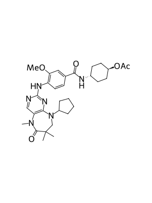 COc1cc(C(=O)N[C@H]2CC[C@H](OC(C)=O)CC2)ccc1Nc1ncc2c(n1)N(C1CCCC1)CC(C)(C)C(=O)N2C